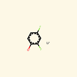 [Li+].[O-]c1ccc(F)cc1F